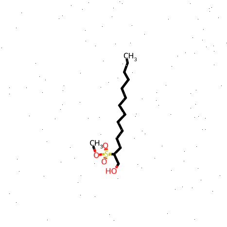 CCCCCCCCCCCCC(CO)S(=O)(=O)OC